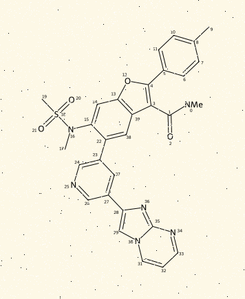 CNC(=O)c1c(-c2ccc(C)cc2)oc2cc(N(C)S(C)(=O)=O)c(-c3cncc(-c4cn5cccnc5n4)c3)cc12